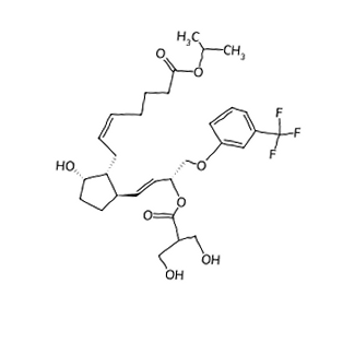 CC(C)OC(=O)CCC/C=C\C[C@H]1[C@@H](O)CC[C@@H]1/C=C/[C@H](COc1cccc(C(F)(F)F)c1)OC(=O)C(CO)CO